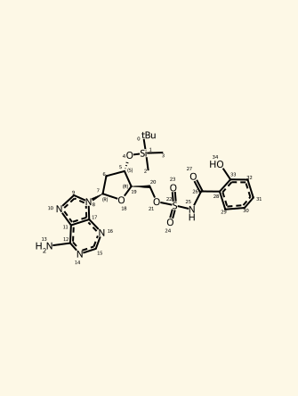 CC(C)(C)[Si](C)(C)O[C@H]1C[C@H](n2cnc3c(N)ncnc32)O[C@@H]1COS(=O)(=O)NC(=O)c1ccccc1O